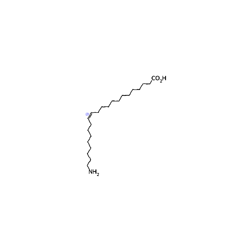 NCCCCCCCC/C=C\CCCCCCCCCCCC(=O)O